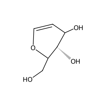 OCC1OC=CC(O)[C@@H]1O